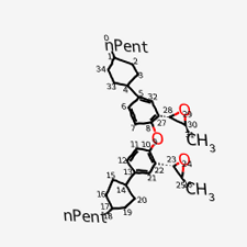 CCCCCC1CCC(c2ccc(Oc3ccc(C4CCC(CCCCC)CC4)cc3[C@@H]3O[C@H]3C)c([C@@H]3O[C@H]3C)c2)CC1